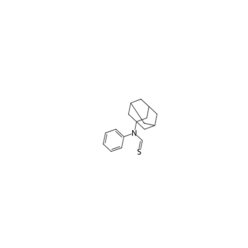 S=CN(c1ccccc1)C12CC3CC(CC(C3)C1)C2